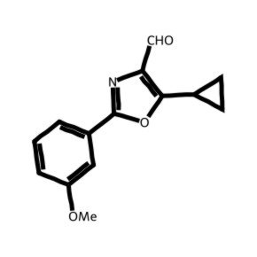 COc1cccc(-c2nc(C=O)c(C3CC3)o2)c1